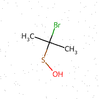 CC(C)(Br)SO